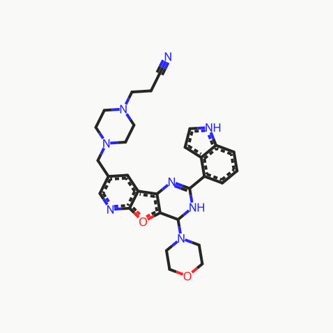 N#CCCN1CCN(Cc2cnc3oc4c(c3c2)N=C(c2cccc3[nH]ccc23)NC4N2CCOCC2)CC1